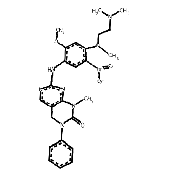 COc1cc(N(C)CCN(C)C)c([N+](=O)[O-])cc1Nc1ncc2c(n1)N(C)C(=O)N(c1ccccc1)C2